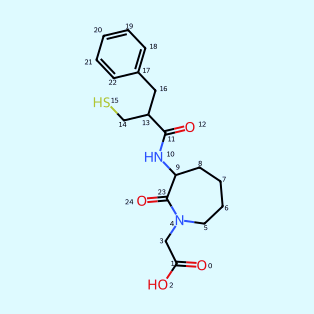 O=C(O)CN1CCCCC(NC(=O)C(CS)Cc2ccccc2)C1=O